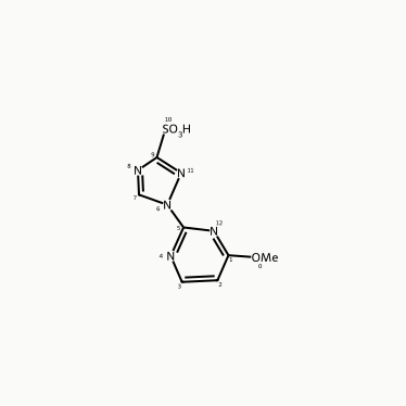 COc1ccnc(-n2cnc(S(=O)(=O)O)n2)n1